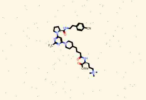 COC(=O)[C@H](CCC[N+](C)(C)C)NC(=O)CCCC1CCN(c2cc(N3CCC[C@H]3C(=O)NCCc3ccc(C#N)cc3)nc(C(F)(F)F)n2)CC1